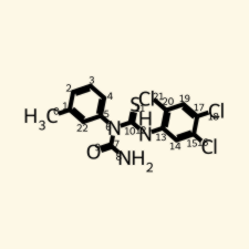 Cc1cccc(N(C(N)=O)C(=S)Nc2cc(Cl)c(Cl)cc2Cl)c1